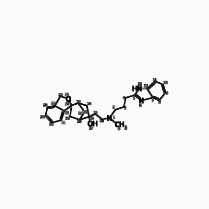 CN(CCCc1nc2ccccc2[nH]1)CCC1(O)CC2CCC1CC21OCc2ccccc21